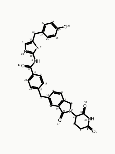 O=C1CCC(N2Cc3ccc(Cc4ccc(C(=O)Nc5ncc(Cc6ccc(Cl)cc6)s5)cc4)cc3C2=O)C(=O)N1